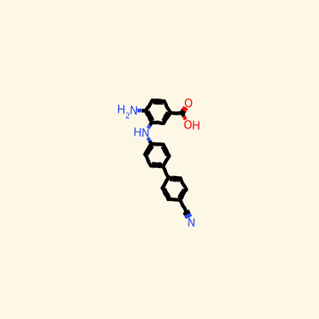 N#Cc1ccc(-c2ccc(Nc3cc(C(=O)O)ccc3N)cc2)cc1